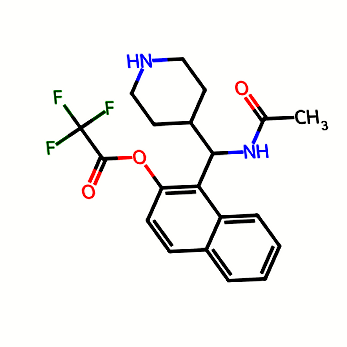 CC(=O)NC(c1c(OC(=O)C(F)(F)F)ccc2ccccc12)C1CCNCC1